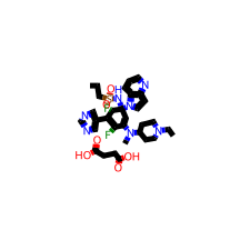 CCCS(=O)(=O)NC1(n2ccc3ncccc32)C=C(N(C)C2CCN(CC)CC2)C(F)=C(c2cncnc2)C1F.O=C(O)CCC(=O)O